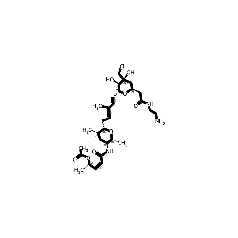 CC(=O)O[C@@H](C)/C=C\C(=O)N[C@@H]1C[C@H](C)[C@H](C/C=C(C)/C=C/[C@H]2O[C@H](CC(=O)NCCN)C[C@@](O)(CCl)[C@@H]2O)O[C@@H]1C